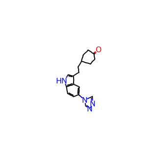 O=C1CCC(CCc2c[nH]c3ccc(-n4cnnc4)cc23)CC1